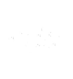 Cc1ncc2nc(-c3ccc(N)cc3Cl)n(C)c2n1